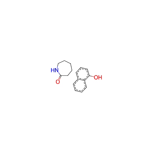 O=C1CCCCCN1.Oc1cccc2ccccc12